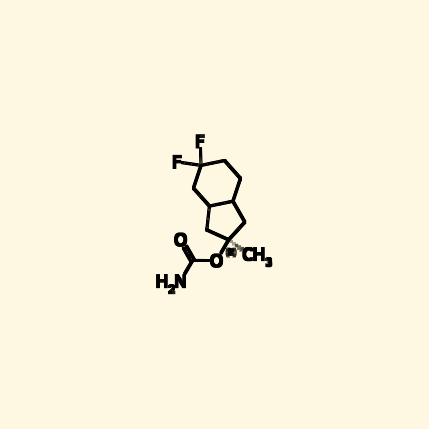 C[C@@]1(OC(N)=O)CC2CCC(F)(F)CC2C1